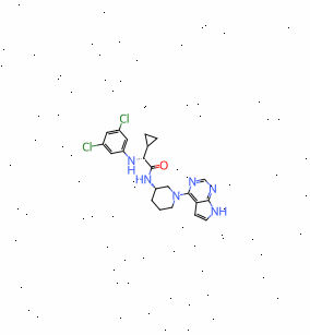 O=C(N[C@@H]1CCCN(c2ncnc3[nH]ccc23)C1)[C@H](Nc1cc(Cl)cc(Cl)c1)C1CC1